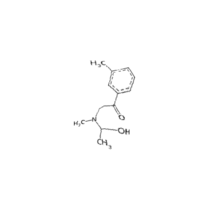 Cc1cccc(C(=O)CN(C)C(C)O)c1